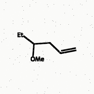 [CH2]CC(CC=C)OC